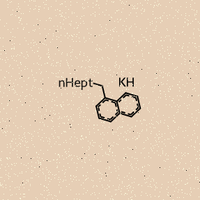 CCCCCCCCc1cccc2ccccc12.[KH]